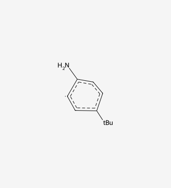 CC(C)(C)c1c[c]c(N)cc1